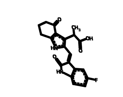 CC(C(=O)O)c1c(/C=C2\C(=O)Nc3ccc(F)cc32)[nH]c2c1C(=O)CCC2